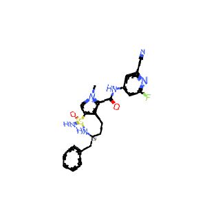 Cn1cc2c(c1C(=O)Nc1cc(F)nc(C#N)c1)CC[C@@H](Cc1ccccc1)NS2(=N)=O